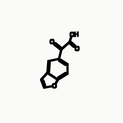 O=C(O)C(=O)c1ccc2occc2c1